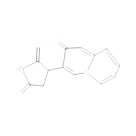 O=C1CC(c2cn3ccccc3cc2=O)C(=O)N1